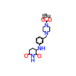 CC(C)(C)OC(=O)N1CCN(Cc2cccc(NC3CCC(=O)NC3=O)c2)CC1